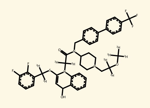 [2H]C([2H])([2H])OC([2H])([2H])CN1CCC(N(Cc2ccc(-c3ccc(C(F)(F)F)cc3)cc2)C(=O)C([2H])([2H])N2C(SC([2H])([2H])c3cccc(F)c3F)=CC(O)c3ccccc32)CC1